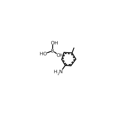 Cc1ccc(N)cc1.OB(O)O